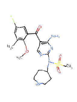 COc1c(C)cc(F)cc1C(=O)c1cnc(N(C2CCNCC2)S(C)(=O)=O)nc1N